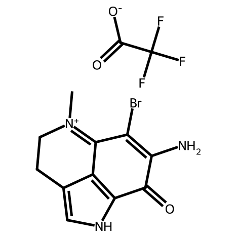 C[N+]1=C2C(Br)=C(N)C(=O)c3[nH]cc(c32)CC1.O=C([O-])C(F)(F)F